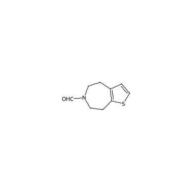 O=CN1CCc2ccsc2CC1